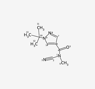 CN(C#N)C(=O)c1cnn(C(C)(C)C)c1